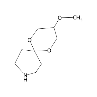 COC1COC2(CCNCC2)OC1